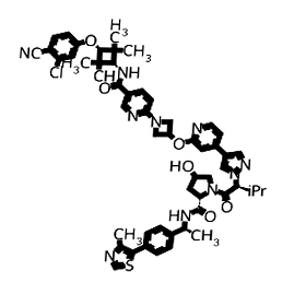 Cc1ncsc1-c1ccc([C@H](C)NC(=O)[C@@H]2CC(O)CN2C(=O)[C@H](C(C)C)n2cc(-c3ccnc(OC4CN(c5ccc(C(=O)N[C@H]6C(C)(C)[C@H](Oc7ccc(C#N)c(Cl)c7)C6(C)C)cn5)C4)c3)cn2)cc1